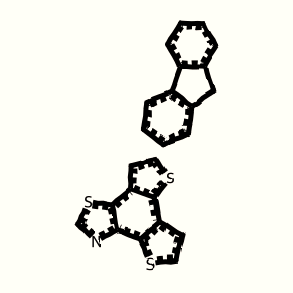 c1cc2c(s1)c1ccsc1c1ncsc21.c1ccc2c(c1)Cc1ccccc1-2